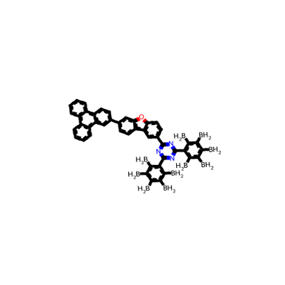 Bc1c(B)c(B)c(-c2nc(-c3ccc4oc5cc(-c6ccc7c8ccccc8c8ccccc8c7c6)ccc5c4c3)nc(-c3c(B)c(B)c(B)c(B)c3B)n2)c(B)c1B